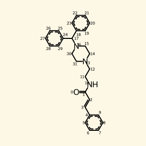 O=C(C=Cc1ccccc1)NCCN1CCN(C(c2ccccc2)c2ccccc2)CC1